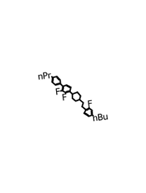 CCCCc1ccc(CCC2CCC(c3ccc(-c4ccc(CCC)cc4)c(F)c3F)CC2)c(F)c1